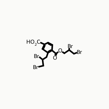 O=C(O)c1ccc(C(=O)OCC(Br)CBr)c(CC(Br)CBr)c1